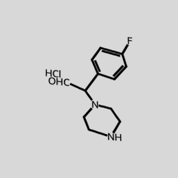 Cl.O=CC(c1ccc(F)cc1)N1CCNCC1